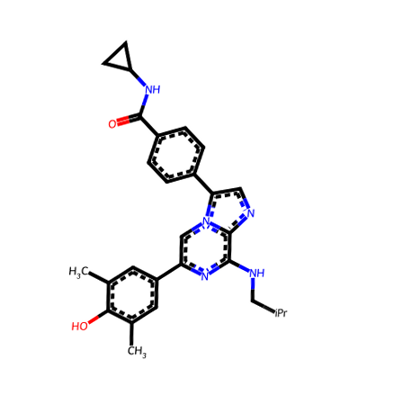 Cc1cc(-c2cn3c(-c4ccc(C(=O)NC5CC5)cc4)cnc3c(NCC(C)C)n2)cc(C)c1O